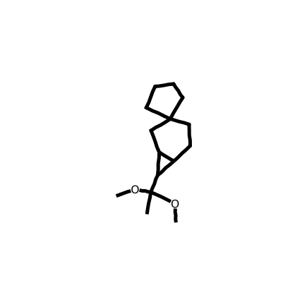 COC(C)(OC)C1C2CCC3(CCCC3)CC21